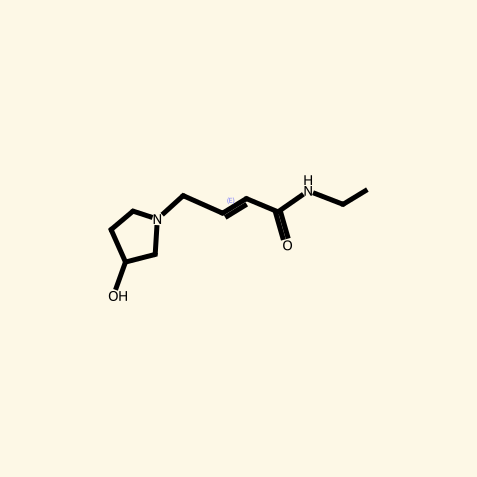 CCNC(=O)/C=C/CN1CCC(O)C1